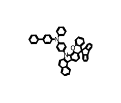 c1ccc(-c2ccc(N(c3ccccc3)c3ccc(-n4c5ccc6ccccc6c5c5ccc6c(c54)Oc4ccccc4C64c5ccccc5-c5ccccc54)cc3)cc2)cc1